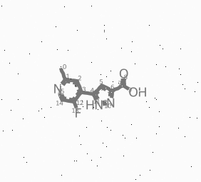 Cc1cc(-c2cc(C(=O)O)n[nH]2)c(F)cn1